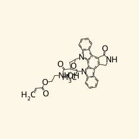 C=CC(=O)OCCNC(=O)[C@@]1(O)CC2O[C@]1(C)n1c3ccccc3c3c4c(c5c6ccccc6n2c5c31)C(=O)NC4